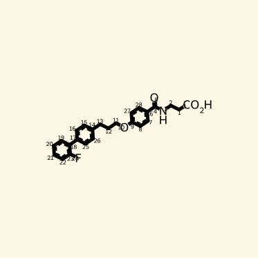 O=C(O)CCNC(=O)c1ccc(OCCCc2ccc(-c3ccccc3F)cc2)cc1